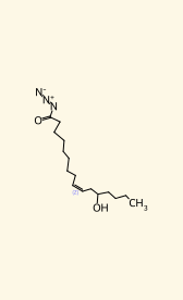 CCCCC(O)C/C=C\CCCCCCCC(=O)N=[N+]=[N-]